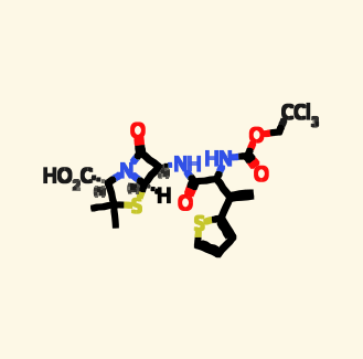 C=C(c1cccs1)C(NC(=O)OCC(Cl)(Cl)Cl)C(=O)N[C@H]1C(=O)N2[C@@H]1SC(C)(C)[C@@H]2C(=O)O